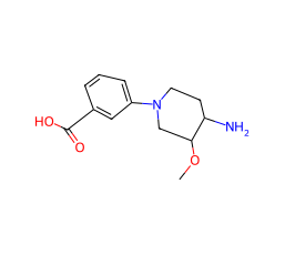 COC1CN(c2cccc(C(=O)O)c2)CCC1N